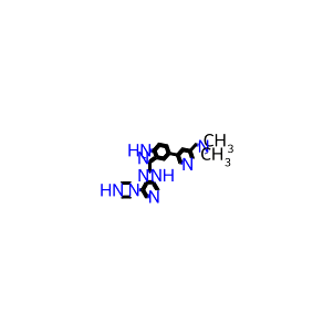 CN(C)Cc1cncc(-c2ccc3[nH]nc(-c4nc5c(N6CCNCC6)cncc5[nH]4)c3c2)c1